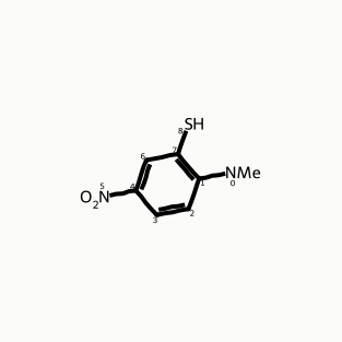 CNc1ccc([N+](=O)[O-])cc1S